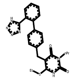 CCCn1c(=O)[nH]c(SCC)c(Cc2ccc(-c3ccccc3-c3nnn[nH]3)cc2)c1=O